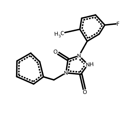 Cc1ccc(F)cc1-n1[nH]c(=O)n(Cc2ccccc2)c1=O